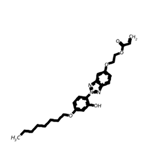 C=CC(=O)OCCOc1ccc2nn(-c3ccc(OCCCCCCCC)cc3O)nc2c1